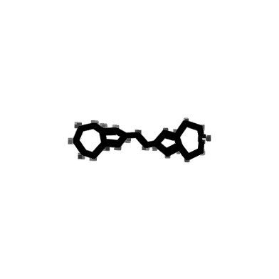 C1=C2CCCCCC2=CC1CCC1C=C2CCCCCC2=C1